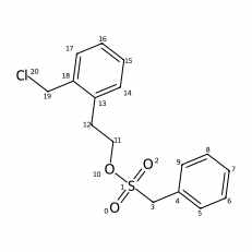 O=S(=O)(Cc1ccccc1)OCCc1ccccc1CCl